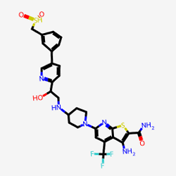 NC(=O)c1sc2nc(N3CCC(NCC(O)c4ccc(-c5cccc(C[SH](=O)=O)c5)cn4)CC3)cc(C(F)(F)F)c2c1N